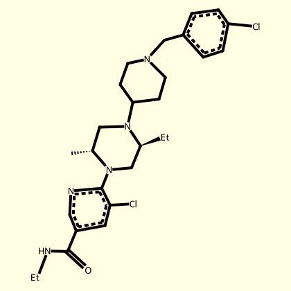 CCNC(=O)c1cnc(N2C[C@H](CC)N(C3CCN(Cc4ccc(Cl)cc4)CC3)C[C@H]2C)c(Cl)c1